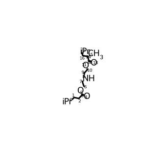 CC(C)CCC(=O)OCCNCCOC(=O)C(C)CC(C)C